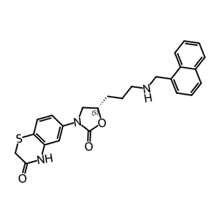 O=C1CSc2ccc(N3C[C@H](CCCNCc4cccc5ccccc45)OC3=O)cc2N1